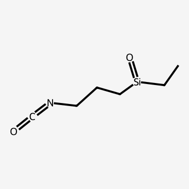 CC[Si](=O)CCCN=C=O